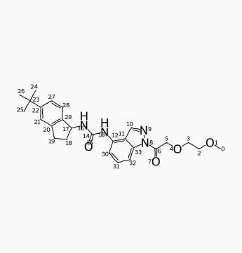 COCCOCC(=O)n1ncc2c(NC(=O)NC3CCc4cc(C(C)(C)C)ccc43)cccc21